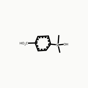 C[Si](C)(O)c1ccc(C(=O)O)cc1